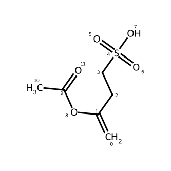 C=C(CCS(=O)(=O)O)OC(C)=O